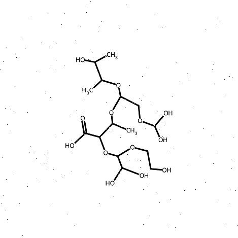 CC(O)C(C)OC(COC(O)O)OC(C)C(OC(OCCO)C(O)O)C(=O)O